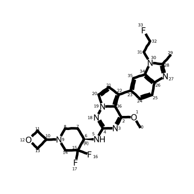 COc1nc(N[C@@H]2CCN(C3COC3)CC2(F)F)nn2ccc(-c3ccc4nc(C)n(CCF)c4c3)c12